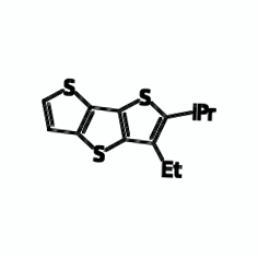 CCc1c(C(C)C)sc2c1sc1ccsc12